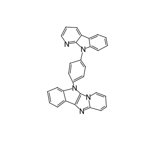 c1ccc2c(c1)c1cccnc1n2-c1ccc(-n2c3ccccc3c3nc4ccccn4c32)cc1